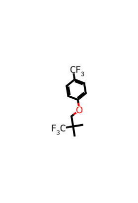 CC(C)(COc1ccc(C(F)(F)F)cc1)C(F)(F)F